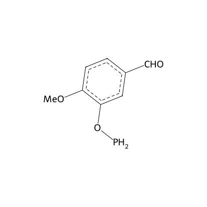 COc1ccc(C=O)cc1OP